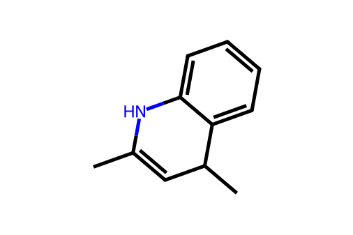 CC1=CC(C)c2ccccc2N1